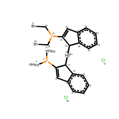 CCCCCCP(CCCCCC)C1=Cc2ccccc2[CH]1[Hf+2][CH]1C(P(CC(C)C)CC(C)C)=Cc2ccccc21.[Cl-].[Cl-]